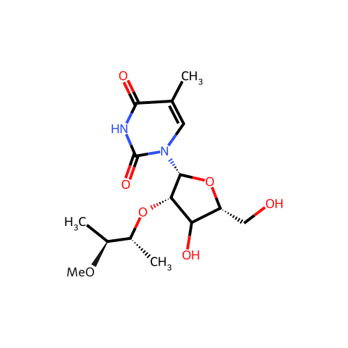 CO[C@@H](C)[C@@H](C)O[C@H]1C(O)[C@@H](CO)O[C@H]1n1cc(C)c(=O)[nH]c1=O